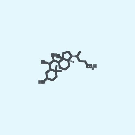 CC[C@@H]([C@@H](O)[C@@H]1CCC[C@]2(C)[C@@H](C(C)CCC(=O)O)CC[C@@H]12)[C@@H]1C[C@H](O)CCC1(C)C